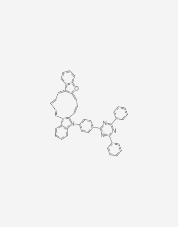 C1=C\c2c(c3ccccc3n2-c2ccc(-c3nc(-c4ccccc4)nc(-c4ccccc4)n3)cc2)/C=C/C=C/C=c2\c(oc3ccccc23)=C/1